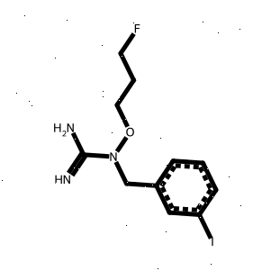 N=C(N)N(Cc1cccc(I)c1)OCCCF